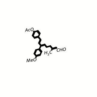 COc1ccc(C(=C\CC/C(C)=C/C=O)/C=C/c2ccc(OC(C)=O)cc2)cc1